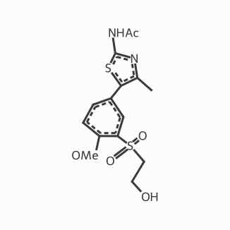 COc1ccc(-c2sc(NC(C)=O)nc2C)cc1S(=O)(=O)CCO